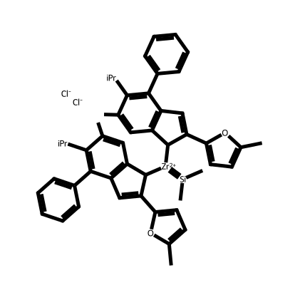 Cc1ccc(C2=Cc3c(cc(C)c(C(C)C)c3-c3ccccc3)[CH]2[Zr+2]([CH]2C(c3ccc(C)o3)=Cc3c2cc(C)c(C(C)C)c3-c2ccccc2)=[Si](C)C)o1.[Cl-].[Cl-]